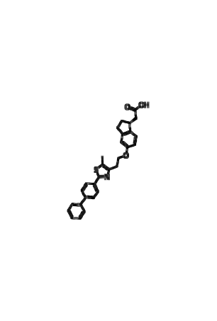 Cc1sc(-c2ccc(-c3ccccc3)cc2)nc1CCOc1ccc2c(c1)CC[C@H]2CC(=O)O